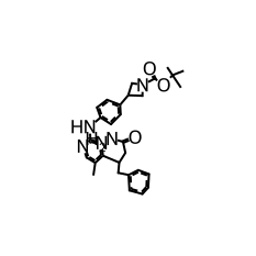 Cc1cnc(Nc2ccc(C3CN(C(=O)OC(C)(C)C)C3)cc2)nc1C(CC(N)=O)Cc1ccccc1